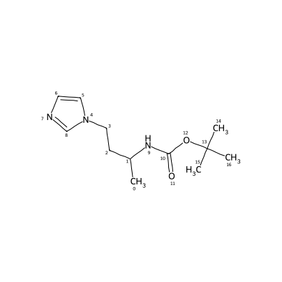 CC(CCn1ccnc1)NC(=O)OC(C)(C)C